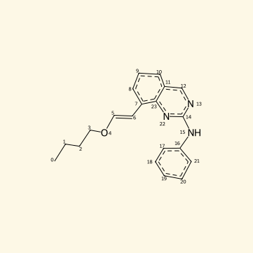 CCCCOC=Cc1cccc2cnc(Nc3ccccc3)nc12